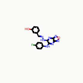 Oc1cccc(C=NNc2nc3nonc3nc2Nc2ccc(F)cc2)c1